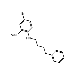 COc1cc(Br)ccc1NCCCCc1ccccc1